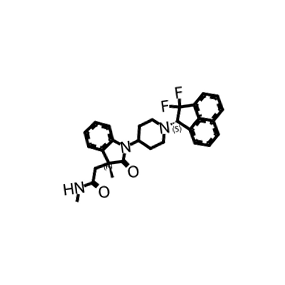 CNC(=O)C[C@@]1(C)C(=O)N(C2CCN([C@H]3c4cccc5cccc(c45)C3(F)F)CC2)c2ccccc21